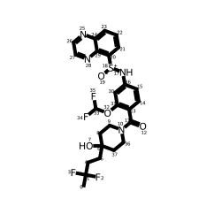 CC(F)(F)CCC1(O)CCN(C(=O)c2ccc(N[S+]([O-])c3cccc4nccnc34)cc2OC(F)F)CC1